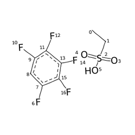 CCS(=O)(=O)O.Fc1cc(F)c(F)c(F)c1F